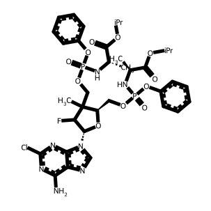 CC(C)OC(=O)[C@H](C)NP(=O)(OC[C@H]1O[C@H](n2cnc3c(N)nc(Cl)nc32)C(F)C1(C)COP(=O)(N[C@@H](C)C(=O)OC(C)C)Oc1ccccc1)Oc1ccccc1